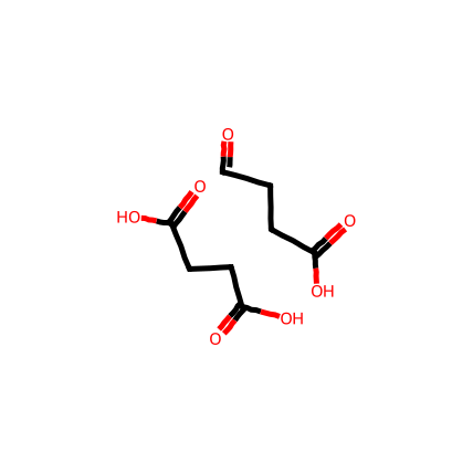 O=C(O)CCC(=O)O.O=CCCC(=O)O